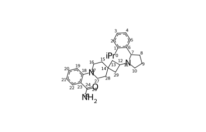 CC(C)c1ccccc1C1CCCN1C1CC2(CCN(c3ccccc3C(N)=O)CC2)C1